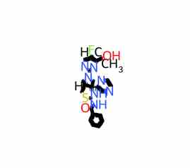 CC(C)(O)c1nc(N2C[C@H]3CSC(NC(=O)c4ccccc4)N[C@@]3(c3cnccn3)C2)ncc1F